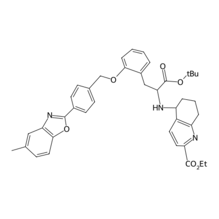 CCOC(=O)c1ccc2c(n1)CCCC2NC(Cc1ccccc1OCc1ccc(-c2nc3cc(C)ccc3o2)cc1)C(=O)OC(C)(C)C